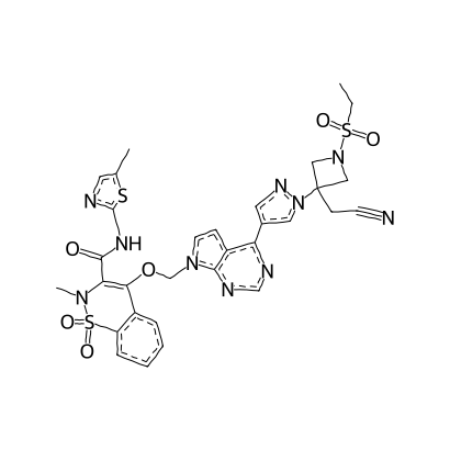 CCS(=O)(=O)N1CC(CC#N)(n2cc(-c3ncnc4c3ccn4COC3=C(C(=O)Nc4ncc(C)s4)N(C)S(=O)(=O)c4ccccc43)cn2)C1